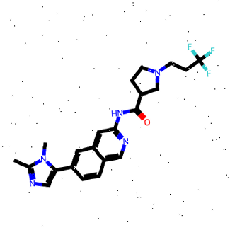 Cc1ncc(-c2ccc3cnc(NC(=O)C4CCN(CCC(F)(F)F)C4)cc3c2)n1C